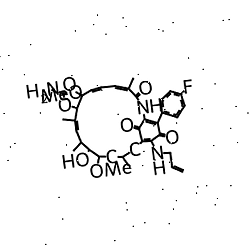 C=CCNC1=C2CC(C)CC(OC)C(O)C(C)C=C(C)C(OC(N)=O)C(OC)C=CC=C(C)C(=O)NC(=C(c3ccc(F)cc3)C1=O)C2=O